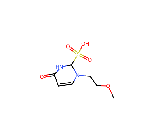 COCCN1C=CC(=O)NC1S(=O)(=O)O